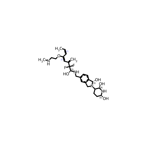 C=C(/C=C(\C=C/C)OCCNC)C(F)(F)[C@H](O)NCc1ccc2c(c1)CN(C1CC[C@H](O)N[C@@H]1O)[C@H]2O